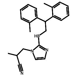 Cc1ccccc1C(CBc1nccn1CC(C)C#N)c1ccccc1C